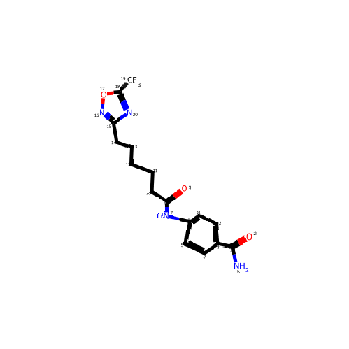 NC(=O)c1ccc(NC(=O)CCCCCc2noc(C(F)(F)F)n2)cc1